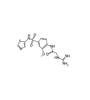 COc1cc(S(=O)(=O)Nc2cncs2)ccc1NC(=O)CNC(=N)N